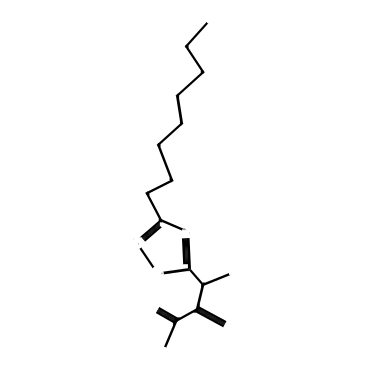 C=C(C(=O)O)C(O)c1nc(CCCCCCCC)no1